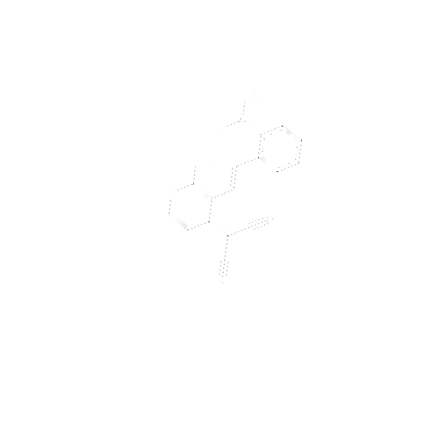 CC1=C(C=Cc2ccccc2N(C)C)C(=C(C#N)C#N)C=CO1